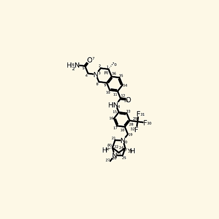 C[C@H]1CN(CC(N)=O)Cc2cc(C(=O)Nc3ccc(CN4C[C@H]5C[C@@H]4CN5C)c(C(F)(F)F)c3)ccc21